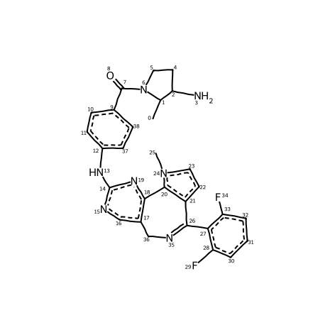 CC1C(N)CCN1C(=O)c1ccc(Nc2ncc3c(n2)-c2c(ccn2C)C(c2c(F)cccc2F)=NC3)cc1